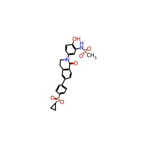 CS(=O)(=O)Nc1cc(N2CCc3cc(-c4ccc(S(=O)(=O)C5CC5)cc4)ccc3C2=O)ccc1O